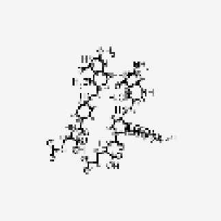 CN1c2c(nc(N)[nH]c2=O)NCC1CNc1ccc(C(=O)NC(CCC(=O)[O-])C(=O)O)cc1.CN1c2c(nc(N)[nH]c2=O)NCC1CNc1ccc(C(=O)NC(CCC(=O)[O-])C(=O)O)cc1.O.O.O.O.O.[Ca+2]